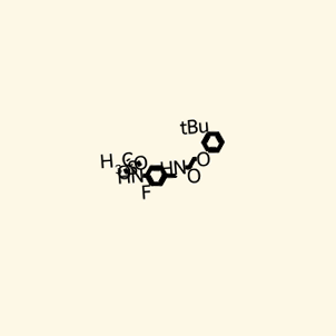 CC(C)(C)c1cccc(OCC(=O)NCc2ccc(NS(C)(=O)=O)c(F)c2)c1